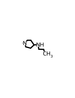 CCCNC1CC[N]CC1